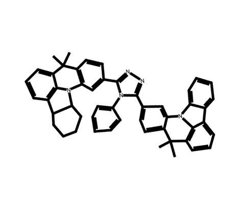 CC1(C)c2ccc(-c3nnc(-c4ccc5c(c4)-n4c6ccccc6c6cccc(c64)C5(C)C)n3-c3ccccc3)cc2N2c3c(cccc31)C1CCCCC12